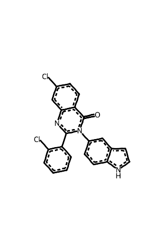 O=c1c2ccc(Cl)cc2nc(-c2ccccc2Cl)n1-c1ccc2[nH]ccc2c1